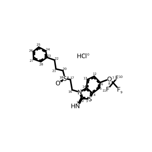 Cl.N=c1sc2cc(OC(F)(F)F)ccc2n1CC[S+]([O-])CCCc1ccccc1